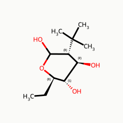 CC[C@H]1OC(O)[C@H](C(C)(C)C)[C@@H](O)[C@@H]1O